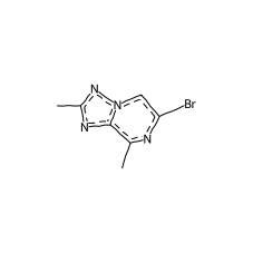 Cc1nc2c(C)nc(Br)cn2n1